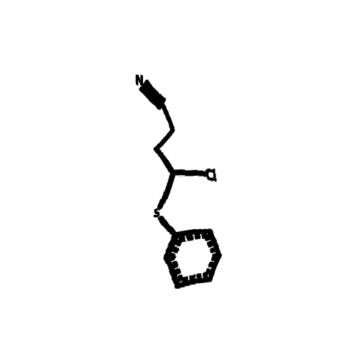 N#CCCC(Cl)Sc1ccccc1